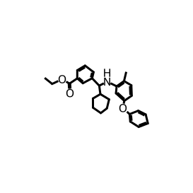 CCOC(=O)c1cccc(C(Nc2cc(Oc3ccccc3)ccc2C)C2CCCCC2)c1